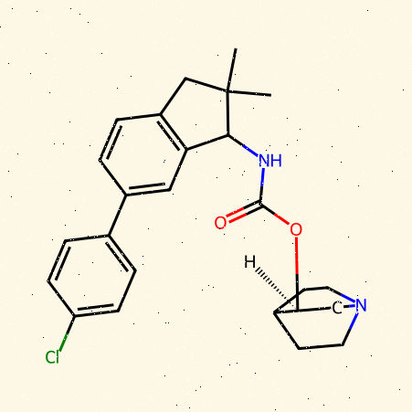 CC1(C)Cc2ccc(-c3ccc(Cl)cc3)cc2C1NC(=O)O[C@H]1CN2CCC1CC2